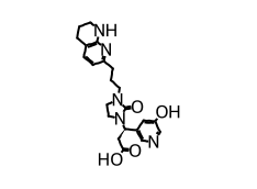 O=C(O)C[C@H](c1cncc(O)c1)N1CCN(CCCc2ccc3c(n2)NCCC3)C1=O